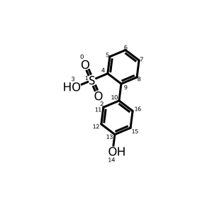 O=S(=O)(O)c1ccccc1-c1ccc(O)cc1